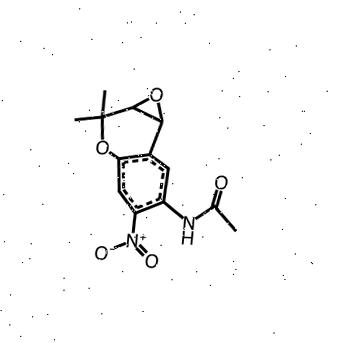 CC(=O)Nc1cc2c(cc1[N+](=O)[O-])OC(C)(C)C1OC21